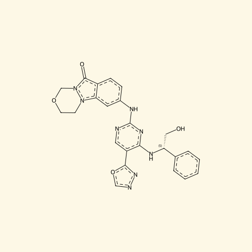 O=c1c2ccc(Nc3ncc(-c4nnco4)c(N[C@H](CO)c4ccccc4)n3)cc2n2n1COCC2